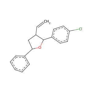 C=CC1CC(c2ccccc2)OC1c1ccc(Cl)cc1